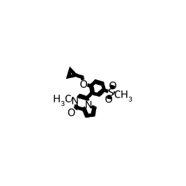 Cn1cc(-c2cc(S(C)(=O)=O)ccc2OCC2CC2)n2cccc2c1=O